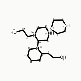 C1CNCCN1.OCCC1CCCCN1C1CNCCN1CCO